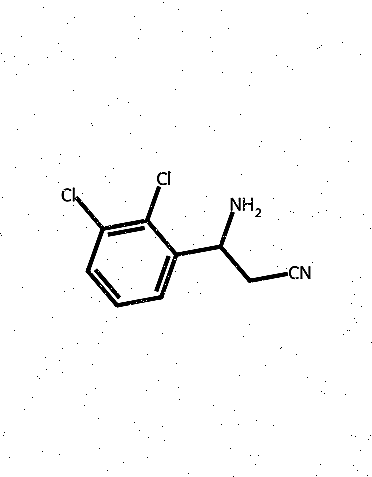 N#CCC(N)c1cccc(Cl)c1Cl